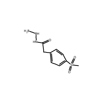 BBNC(=O)Cc1ccc(S(C)(=O)=O)cc1